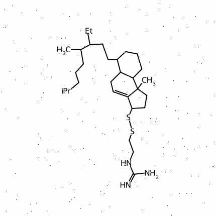 CCC(CCC1CCCC2C1CC=C1C(SSCCNC(=N)N)CCC12C)C(C)CCCC(C)C